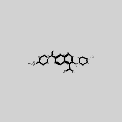 CC(c1ccc2c(C(F)F)c(O[C@H]3CC[C@@H](C)CC3)ccc2c1)N1CCC(C(=O)O)CC1